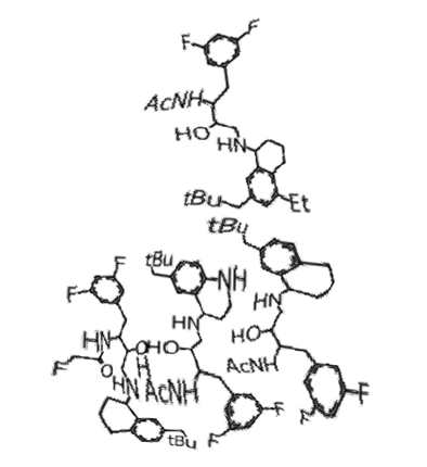 CC(=O)NC(Cc1cc(F)cc(F)c1)C(O)CNC1CCCc2ccc(CC(C)(C)C)cc21.CC(=O)NC(Cc1cc(F)cc(F)c1)C(O)CNC1CCNc2ccc(CC(C)(C)C)cc21.CC(C)(C)Cc1ccc2c(c1)C(NCC(O)C(Cc1cc(F)cc(F)c1)NC(=O)CF)CCC2.CCc1cc(CC(C)(C)C)cc2c1CCCC2NCC(O)C(Cc1cc(F)cc(F)c1)NC(C)=O